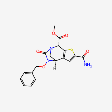 COC(=O)[C@@H]1c2sc(C(N)=O)cc2[C@@H]2CN1C(=O)N2OCc1ccccc1